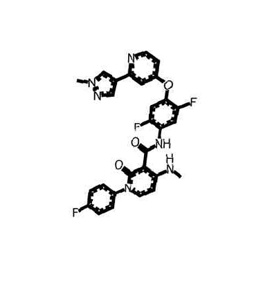 CNc1ccn(-c2ccc(F)cc2)c(=O)c1C(=O)Nc1cc(F)c(Oc2ccnc(-c3cnn(C)c3)c2)cc1F